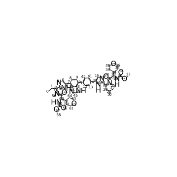 CC[C@@H](c1ncc(-c2ccc(-c3ccc(-c4cnc([C@H](CC(C)C)N(C)C(=O)[C@@H](NC(=O)OC)C5CCOCC5)[nH]4)cc3)c3[nH]cnc23)[nH]1)N(C)C(=O)[C@@H](NC(=O)OC)C1CCOCC1